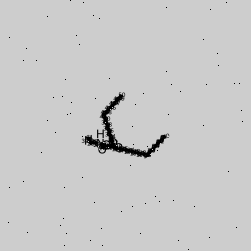 CCCCCCCC/C=C\CCCCCCCCOCC(COC(=O)NCCCN(C)C)OCCCCCCCC/C=C\CCCCCCCC